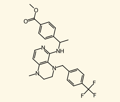 COC(=O)c1ccc(C(C)Nc2nccc3c2N(Cc2ccc(C(F)(F)F)cc2)CCN3C)cc1